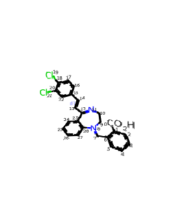 O=C(O)c1ccccc1CN1CCN=C(/C=C/c2ccc(Cl)c(Cl)c2)c2ccccc21